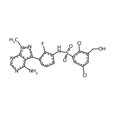 Cn1nc(-c2cccc(NS(=O)(=O)c3cc(Cl)cc(CO)c3Cl)c2F)c2c(N)ncnc21